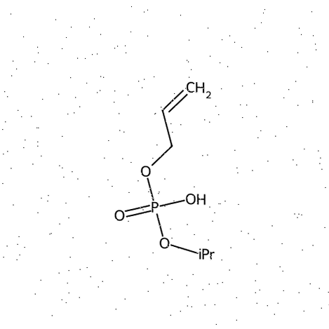 C=CCOP(=O)(O)OC(C)C